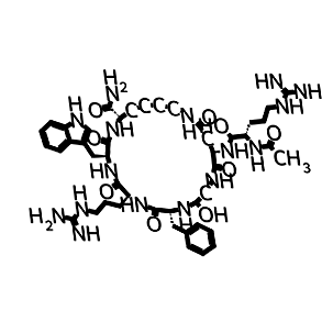 CC(=O)N[C@@H](CCCNC(=N)N)C(O)N[C@H]1CC(=O)NCCCC[C@@H](C(N)=O)NC(=O)[C@H](Cc2c[nH]c3ccccc23)NC(=O)[C@H](CCCNC(=N)N)NC(=O)[C@@H](Cc2ccccc2)NC(O)CNC1=O